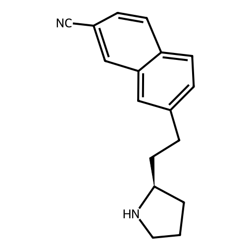 N#Cc1ccc2ccc(CC[C@H]3CCCN3)cc2c1